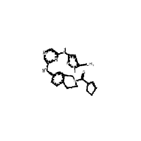 Cc1cc(Nc2cncc(Nc3ccc4c(c3)CN(C(=O)C3CCCC3)CC4)n2)n[nH]1